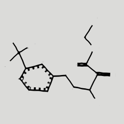 C=C(C(=O)OCC)C(C)CCc1cccc(C(F)(F)F)c1